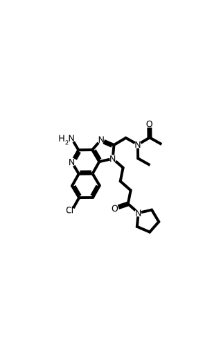 CCN(Cc1nc2c(N)nc3cc(Cl)ccc3c2n1CCCC(=O)N1CCCC1)C(C)=O